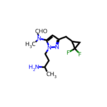 CC(N)CCn1nc(CC2CC2(F)F)cc1N(C)C=O